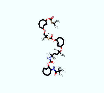 CC(C)SC(=O)OC1/C=C/C(OCC(C)(C)SC(=O)OC2/C=C/C(OC(C)(C)CCC(C)(C)NC(=O)OC3/C=C/CCCCC3NC(=O)C(C)(C)C)CCCC2)CCCC1